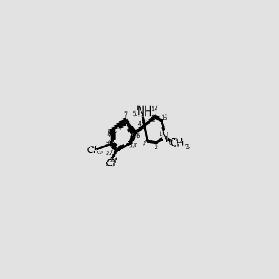 CN1CCC(N)(c2ccc(Cl)c(Cl)c2)CC1